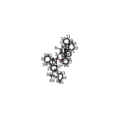 C=C/C(=C\C1=C(C)N(c2ccccc2)P(=O)(c2ccccc2)N1c1ccccc1)n1c2ccccc2c2cc3c(cc21)-c1ccccc1C3(C)C